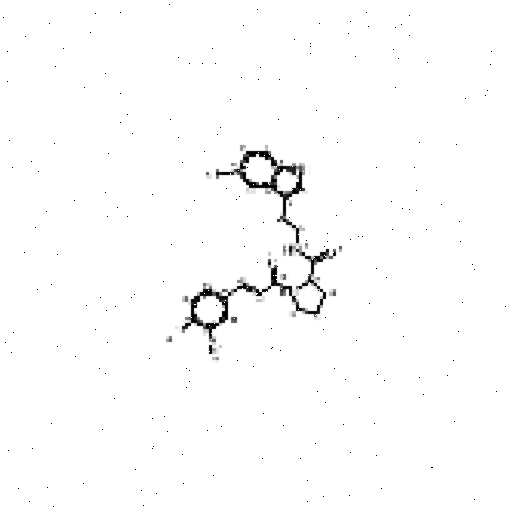 O=C(NCCc1c[nH]c2ccc(F)cc12)C1CCCN1C(=O)C=Cc1ccc(F)c(Br)c1